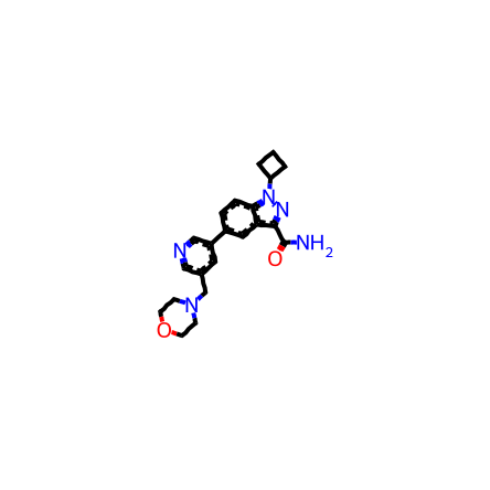 NC(=O)c1nn(C2CCC2)c2ccc(-c3cncc(CN4CCOCC4)c3)cc12